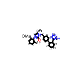 CCCc1cn(-c2c(OC)cccc2C(C)=O)c(=O)n1Cc1ccc(-c2ccccc2-c2nnn[nH]2)cc1